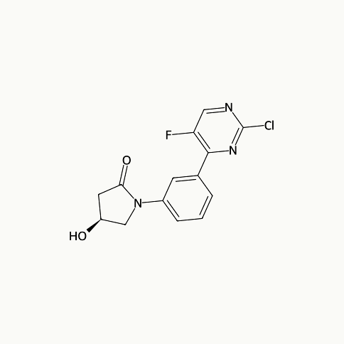 O=C1C[C@H](O)CN1c1cccc(-c2nc(Cl)ncc2F)c1